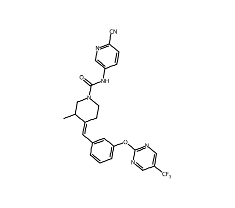 CC1CN(C(=O)Nc2ccc(C#N)nc2)CC/C1=C\c1cccc(Oc2ncc(C(F)(F)F)cn2)c1